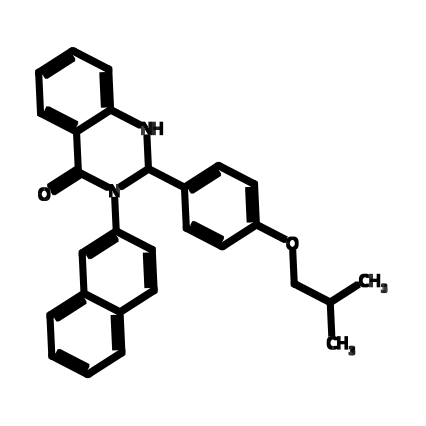 CC(C)COc1ccc(C2Nc3ccccc3C(=O)N2c2ccc3ccccc3c2)cc1